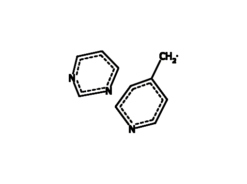 [CH2]c1ccncc1.c1cncnc1